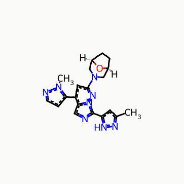 Cc1cc(-c2ncc3c(-c4ccnn4C)cc(N4C[C@H]5CC[C@@H](C4)O5)nn23)[nH]n1